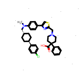 CN(C[C@H]1CC[C@H](c2ccc(Cl)cc2)CC1)c1ccc(-c2csc(CN3CCC(C(=O)O)(c4ccccc4)CC3)n2)cc1